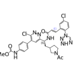 COC(=O)Nc1ccc(-c2cc([C@H](CC3CCN(C(C)=O)C3)NC(=O)/C=C/c3cc(Cl)ccc3N(C=N)N=N)nnc2Cl)cc1